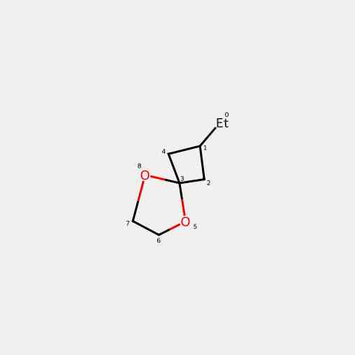 CCC1CC2(C1)OCCO2